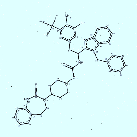 Nc1c(Cl)cc(CC(NC(=O)ON2CCC(N3CCc4ccccc4NC3=O)CC2)c2nc3ccccc3n2Cc2cccnc2)cc1C(F)(F)F